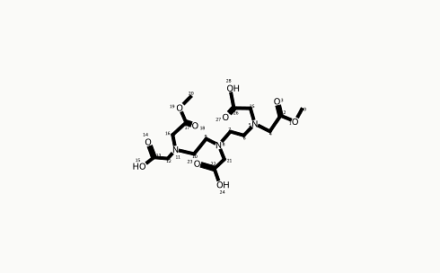 COC(=O)CN(CCN(CCN(CC(=O)O)CC(=O)OC)CC(=O)O)CC(=O)O